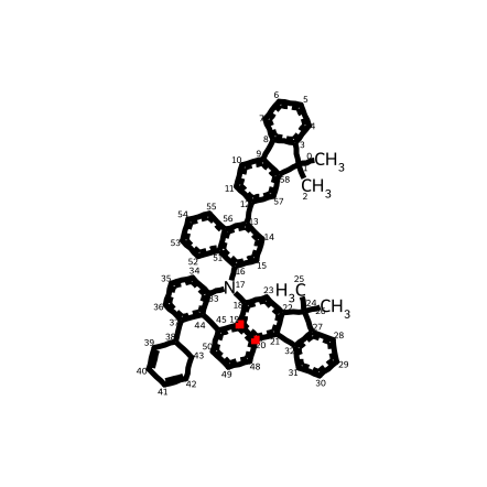 CC1(C)c2ccccc2-c2ccc(-c3ccc(N(c4ccc5c(c4)C(C)(C)c4ccccc4-5)c4cccc(C5C=CC=CC5)c4-c4ccccc4)c4ccccc34)cc21